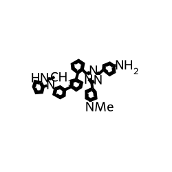 CNc1ccc(-c2nc(-c3ccc(N)cc3)nc(-c3ccccc3-c3cccc(-c4cccc(N5c6ccccc6NC5C)c4)c3)n2)cc1